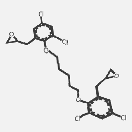 Clc1cc(Cl)c(OCCCCCOc2c(Cl)cc(Cl)cc2CC2CO2)c(CC2CO2)c1